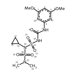 COc1cc(OC)nc(NC(=O)NS(=O)(=O)N(C2CC2)S(=O)(=O)N(C)C)n1